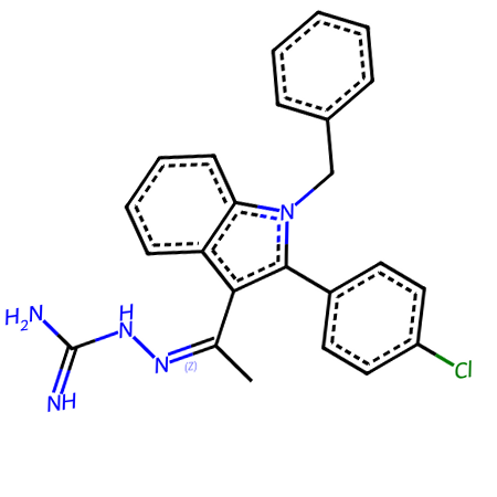 C/C(=N/NC(=N)N)c1c(-c2ccc(Cl)cc2)n(Cc2ccccc2)c2ccccc12